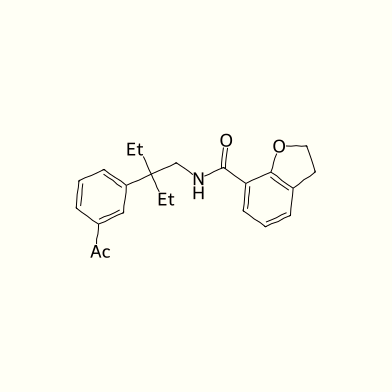 CCC(CC)(CNC(=O)c1cccc2c1OCC2)c1cccc(C(C)=O)c1